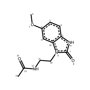 COc1ccc2[nH]c(=O)n(CCNC(C)=O)c2c1